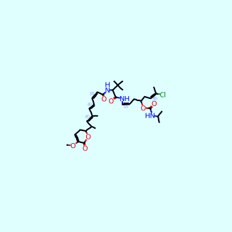 COC1=CCC(C(C)/C=C(C)/C=C/C=C\C(=O)NC(C(=O)N/C=C\CC(C/C=C(\C)Cl)OC(=O)NC(C)C)C(C)(C)C)OC1=O